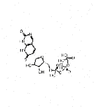 O=c1ncc2cc([C@@H]3O[C@H](COP(=O)(O)OP(=O)(O)OP(=O)(O)O)[C@H](O)C3O)c(=S)[nH]c2[nH]1